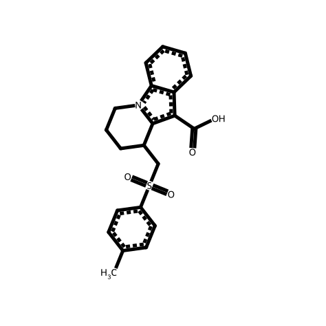 Cc1ccc(S(=O)(=O)CC2CCCn3c2c(C(=O)O)c2ccccc23)cc1